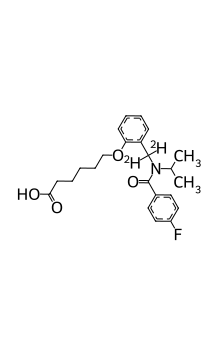 [2H]C([2H])(c1ccccc1OCCCCCC(=O)O)N(C(=O)c1ccc(F)cc1)C(C)C